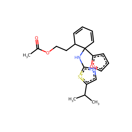 CC(=O)OCCC1C=CC=CC1(Nc1ncc(C(C)C)s1)c1ccco1